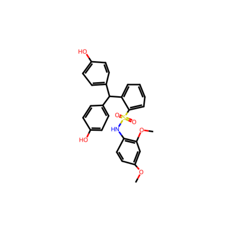 COc1ccc(NS(=O)(=O)c2ccccc2C(c2ccc(O)cc2)c2ccc(O)cc2)c(OC)c1